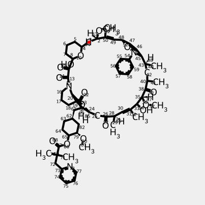 CO[C@H]1C[C@@H]2CCCC(O)(O2)C(=O)C(=O)N2CCCC3C2C(=O)O[C@@H](CC(=O)[C@H](C)/C=C(\C)C(O)[C@@H](OC)C(=O)C(C)C[C@H](C)C2C=CC(/C=C/1C)ON2c1ccccc1)[C@H]3C[C@@H]1CCC(OC(=O)C(C)(C)Cc2ccccn2)[C@H](OC)C1